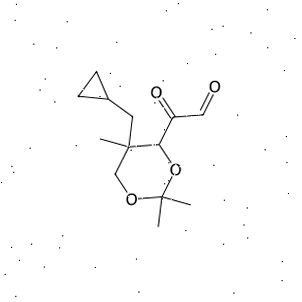 CC1(C)OCC(C)(CC2CC2)C(C(=O)C=O)O1